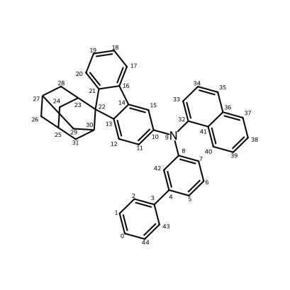 c1ccc(-c2cccc(N(c3ccc4c(c3)-c3ccccc3C43C4CC5CC(C4)CC3C5)c3cccc4ccccc34)c2)cc1